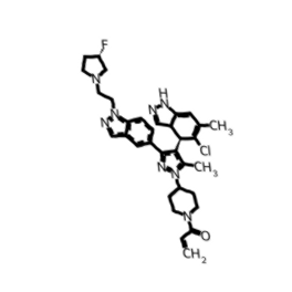 C=CC(=O)N1CCC(n2nc(-c3ccc4c(cnn4CCN4CC[C@H](F)C4)c3)c([C@@H]3C(Cl)=C(C)C=C4NN=CC43)c2C)CC1